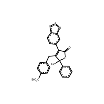 CCOC(=O)c1ccc(CC2=C(c3ccc4nsnc4c3)C(=O)OC2(O)c2ccccc2)cc1